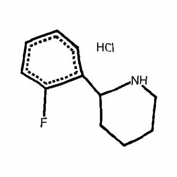 Cl.Fc1ccccc1C1CCCCN1